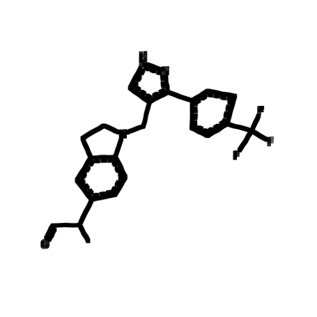 CC(C=O)c1ccc2c(c1)CCN2Cc1c[nH]nc1-c1ccc(C(F)(F)F)cc1